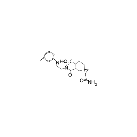 Cc1cccc(N2CCN(C(=O)C3CC4(CCC3C(=O)O)CC4C(N)=O)CC2)c1